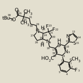 Cc1c(F)cccc1[C@@H]1N=C(c2nccs2)NC(CN2CC(F)(F)[C@H]3[C@@H]2CCN3CCCC(C)(C)C(=O)OC(C)(C)C)=C1C(=O)O